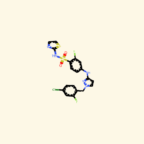 O=S(=O)(Nc1nccs1)c1ccc(Nc2ccn(Cc3ccc(Cl)cc3F)n2)cc1F